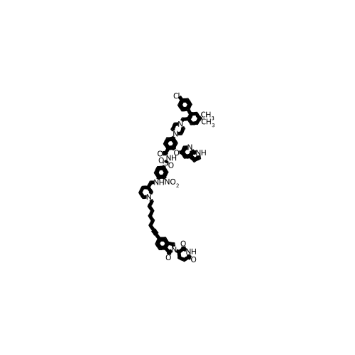 CC1(C)CCC(CN2CCN(c3ccc(C(=O)NS(=O)(=O)c4ccc(NCC5CCCN(CCCCCCC#Cc6ccc7c(c6)CN(C6CCC(=O)NC6=O)C7=O)C5)c([N+](=O)[O-])c4)c(Oc4cnc5[nH]ccc5c4)c3)CC2)=C(c2ccc(Cl)cc2)C1